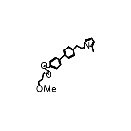 COCCCS(=O)(=O)c1ccc(-c2ccc(CCn3cccc3C)cc2)cc1